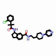 CC(C)(C(=O)NC1CCc2ccc(C(=O)NCCC3CCN(c4ccncc4)CC3)cc21)c1ccccc1Cl